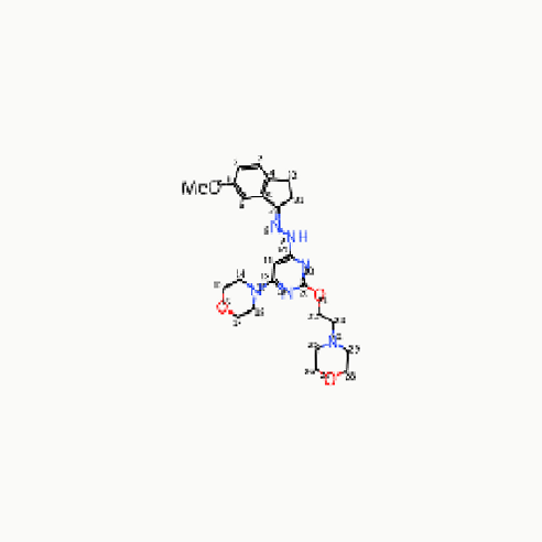 COc1ccc2c(c1)C(=NNc1cc(N3CCOCC3)nc(OCCN3CCOCC3)n1)CC2